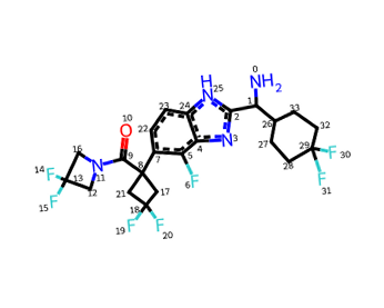 NC(c1nc2c(F)c(C3(C(=O)N4CC(F)(F)C4)CC(F)(F)C3)ccc2[nH]1)C1CCC(F)(F)CC1